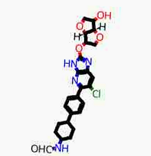 O=CNC1CCC(c2ccc(-c3nc4[nH]c(OC5CO[C@@H]6C(O)CO[C@H]56)nc4cc3Cl)cc2)CC1